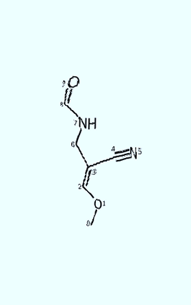 CO/C=C(\C#N)CNC=O